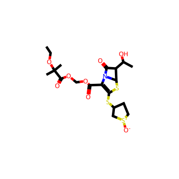 CCOC(C)(C)C(=O)OCOC(=O)C1=C(SC2CC[S+]([O-])C2)SC2C(C(C)O)C(=O)N12